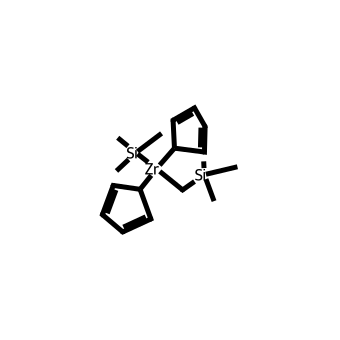 C[Si](C)(C)[CH2][Zr]([CH]1C=CC=C1)([CH]1C=CC=C1)[Si](C)(C)C